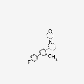 Cc1cc(-c2ccc(F)cc2)ccc1C1CCCN(C2CCOCC2)C1